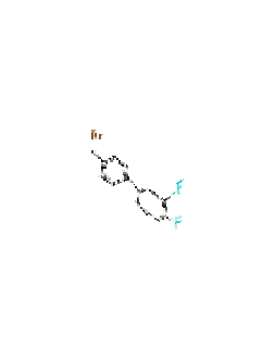 Fc1ccc(-c2ccc(CBr)cc2)cc1F